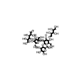 O=C[C@H](O)[C@@H](O)[C@@H](O)CO.O=C[C@H](O)[C@@H](O)[C@@H](O)[C@H](O)CO.OC[C@H]1O[C@H](O[C@H]2[C@H](O)[C@@H](O)[C@H](O)O[C@@H]2CO)[C@H](O)[C@@H](O)[C@@H]1O.OC[C@H]1O[C@](O)(CO)[C@@H](O)[C@@H]1O